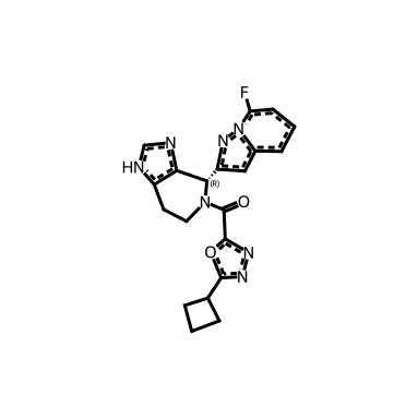 O=C(c1nnc(C2CCC2)o1)N1CCc2[nH]cnc2[C@@H]1c1cc2cccc(F)n2n1